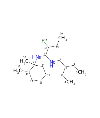 CCC(CC)CNC(NC1(C)CCCC[C@@H]1C)C(F)CC